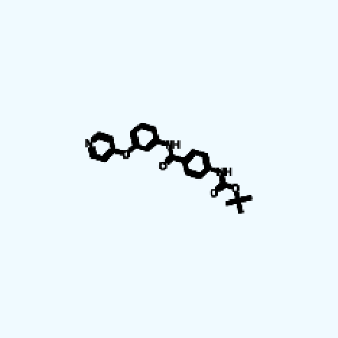 CC(C)(C)OC(=O)Nc1ccc(C(=O)Nc2cccc(Oc3ccncc3)c2)cc1